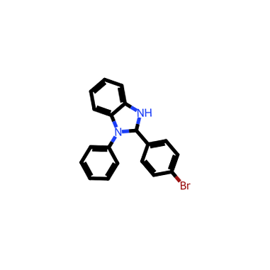 Brc1ccc(C2Nc3ccccc3N2c2ccccc2)cc1